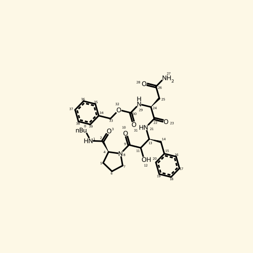 CCCCNC(=O)[C@@H]1CCCN1C(=O)C(O)[C@H](Cc1ccccc1)NC(=O)[C@H](CC(N)=O)NC(=O)OCc1ccccc1